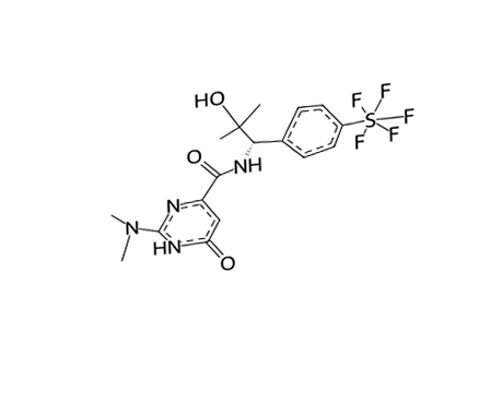 CN(C)c1nc(C(=O)N[C@@H](c2ccc(S(F)(F)(F)(F)F)cc2)C(C)(C)O)cc(=O)[nH]1